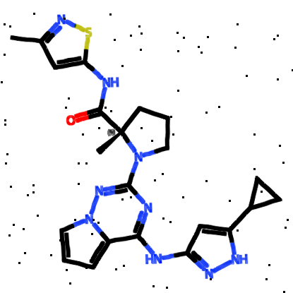 Cc1cc(NC(=O)[C@]2(C)CCCN2c2nc(Nc3cc(C4CC4)[nH]n3)c3cccn3n2)sn1